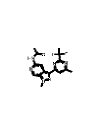 CC(=O)Nc1cc2c(-c3cc(C)nc(C(C)(F)F)n3)nn(C)c2cn1